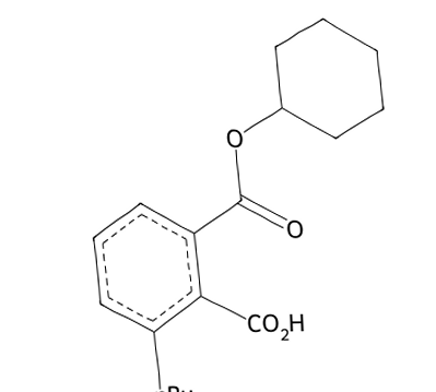 CCCCc1cccc(C(=O)OC2CCCCC2)c1C(=O)O